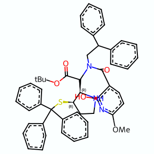 COc1ccc(C(=O)N(CC(c2ccccc2)c2ccccc2)C(C(=O)OC(C)(C)C)[C@H]2NCC[C@H]2SC(c2ccccc2)(c2ccccc2)c2ccccc2)c(O)n1